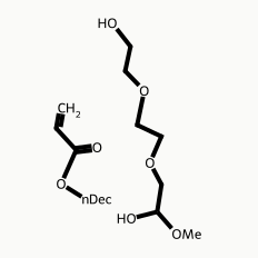 C=CC(=O)OCCCCCCCCCC.COC(O)COCCOCCO